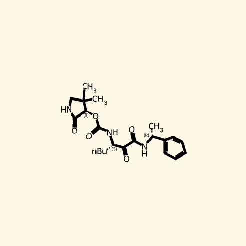 CCCC[C@H](NC(=O)O[C@H]1C(=O)NCC1(C)C)C(=O)C(=O)N[C@H](C)c1ccccc1